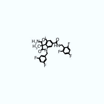 CC1(C(N)=O)C(=O)N(Cc2cc(F)cc(F)c2)c2cc(C(=O)NCc3c(F)cc(F)cc3F)cc(I)c21